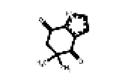 CC1(C)CC(=O)c2[nH]ccc2C1=O